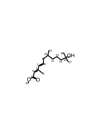 COC(=O)/C=C(C)/C=C/CC(C)CCCC(C)(C)O